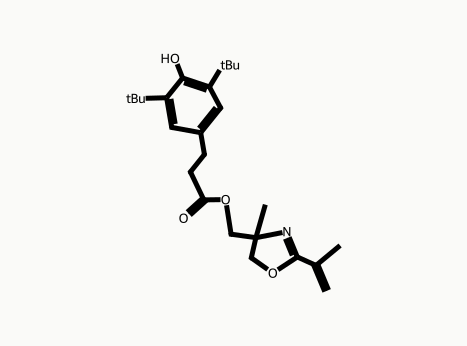 C=C(C)C1=NC(C)(COC(=O)CCc2cc(C(C)(C)C)c(O)c(C(C)(C)C)c2)CO1